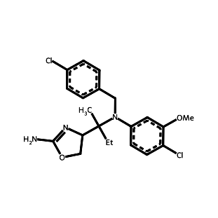 CCC(C)(C1COC(N)=N1)N(Cc1ccc(Cl)cc1)c1ccc(Cl)c(OC)c1